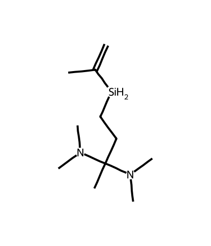 C=C(C)[SiH2]CCC(C)(N(C)C)N(C)C